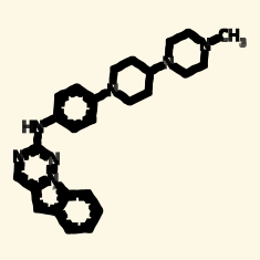 CN1CCN(C2CCN(c3ccc(Nc4ncc5cc6ccccc6n5n4)cc3)CC2)CC1